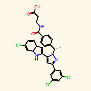 C[C@@H](c1ccc(C(=O)NCCC(=O)O)cc1)n1nc(-c2cc(Cl)cc(Cl)c2)cc1C1=CC2C=CC(Cl)=CC2N1